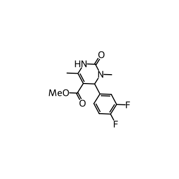 COC(=O)C1=C(C)NC(=O)N(C)C1c1ccc(F)c(F)c1